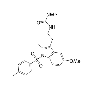 CNC(=O)NCCc1c(C)n(S(=O)(=O)c2ccc(C)cc2)c2ccc(OC)cc12